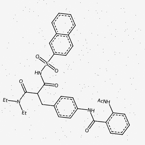 CCN(CC)C(=O)C(Cc1ccc(NC(=O)c2ccccc2NC(C)=O)cc1)C(=O)NS(=O)(=O)c1ccc2ccccc2c1